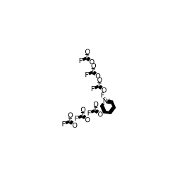 F[n+]1ccccc1.O=I(=O)F.O=I(=O)F.O=I(=O)F.O=I(=O)F.O=I(=O)F.O=I(=O)F